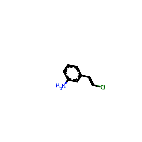 Nc1cccc(C=CCl)c1